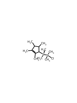 CC1=C(C)C([Si](C)(C)[Si](C)(C)Cl)C(C)C1C